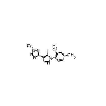 Cc1ccc(-n2ncc(-c3nnn(C(C)C)n3)c2I)c(C)c1